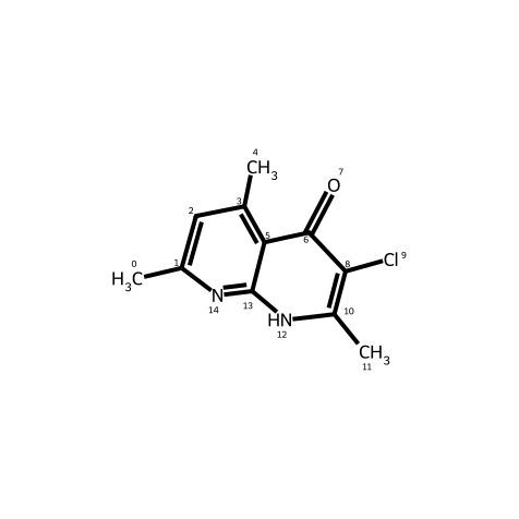 Cc1cc(C)c2c(=O)c(Cl)c(C)[nH]c2n1